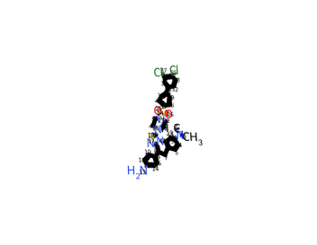 CN(C)c1ccc(CC(c2ccc(N)cc2)c2nsc(N3CCN(S(=O)(=O)c4ccc(-c5ccc(Cl)c(Cl)c5)cc4)CC3)n2)cc1